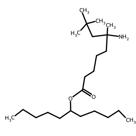 CCCCCC(CCCCC)OC(=O)CCCCC(C)(N)CC(C)(C)C